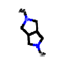 CC(=O)N1CC2CN(C(C)C)CC2C1